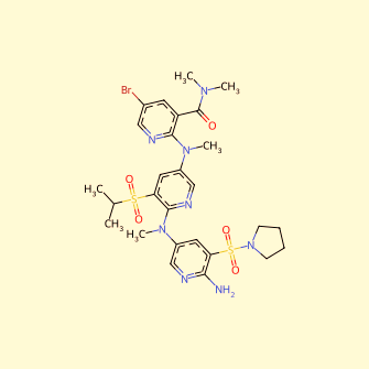 CC(C)S(=O)(=O)c1cc(N(C)c2ncc(Br)cc2C(=O)N(C)C)cnc1N(C)c1cnc(N)c(S(=O)(=O)N2CCCC2)c1